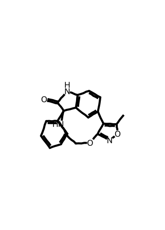 Cc1onc2c1-c1ccc3c(c1)C(c1ccccc1)(NCCO2)C(=O)N3